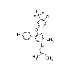 CCN(C)C=Nc1cc(-c2ccc(F)cc2)c(Oc2ccc(Cl)c(C(F)(F)F)c2)nc1C